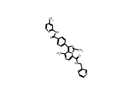 Cc1nc(-c2ccc(C(=O)Nc3cc(C(F)(F)F)ccn3)cc2)c2c(N)ncc(C(=O)NCc3cccnc3)n12